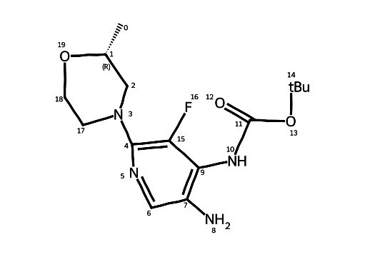 C[C@@H]1CN(c2ncc(N)c(NC(=O)OC(C)(C)C)c2F)CCO1